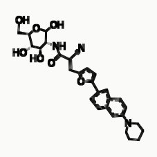 N#C/C(=C\c1ccc(-c2ccc3cc(N4CCCCC4)ccc3c2)o1)C(=O)N[C@H]1C(O)O[C@H](CO)[C@@H](O)[C@@H]1O